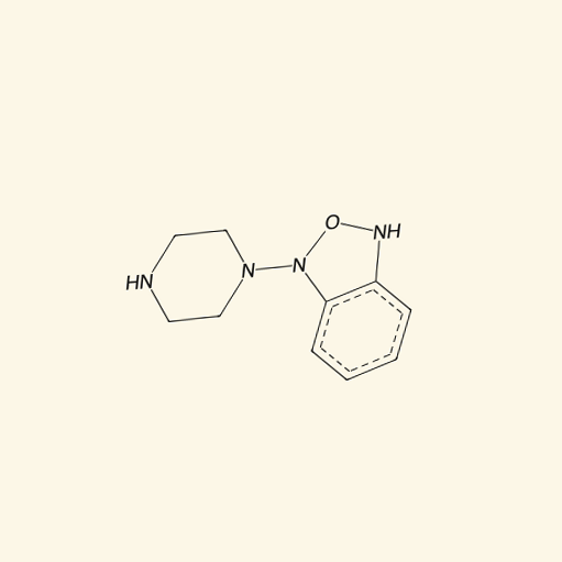 c1ccc2c(c1)NON2N1CCNCC1